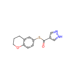 O=C(Sc1ccc2c(c1)CCCO2)c1cn[nH]c1